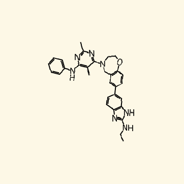 CCNc1nc2ccc(-c3ccc4c(c3)CN(c3nc(C)nc(Nc5ccccc5)c3C)CCO4)cc2[nH]1